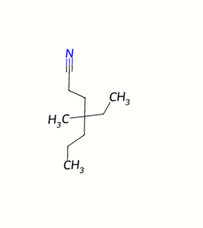 CCCC(C)(CC)CCC#N